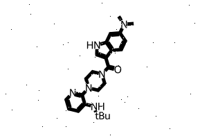 CN(C)c1ccc2c(C(=O)N3CCN(c4ncccc4NC(C)(C)C)CC3)c[nH]c2c1